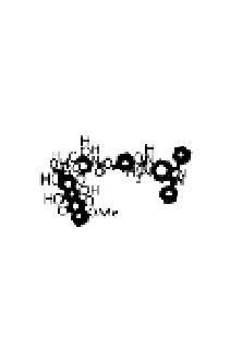 COc1cccc2c1C(=O)c1c(O)c3c(c(O)c1C2=O)C[C@@](O)(C(=O)CO)C[C@@H]3O[C@H]1C[C@@H](NC(=O)OCc2ccc(OC(=O)NC3CCC4C(c5ccccc5)=NN=C(c5ccccc5)C4CCC3N)cc2)[C@H](O)C(C)O1